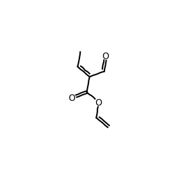 C=COC(=O)C(C=O)=CC